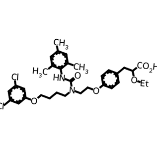 CCOC(Cc1ccc(OCCN(CCCCOc2cc(Cl)cc(Cl)c2)C(=O)Nc2c(C)cc(C)cc2C)cc1)C(=O)O